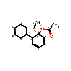 CC[C@]1(OC(C)=O)C=CC=CC1C1CCCCC1